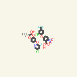 C[C@@H](Oc1ccc(Oc2ncc(Cl)cc2F)cc1)C(=O)O.O=C(O)c1cc(Oc2ccc(C(F)(F)F)cc2Cl)ccc1[N+](=O)[O-]